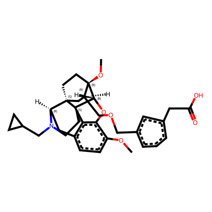 COc1ccc2c3c1O[C@H]1[C@@]4(OC)CC[C@@]5(C[C@@H]4COCc4cccc(CC(=O)O)c4)[C@@H](C2)N(CC2CC2)CC[C@]315